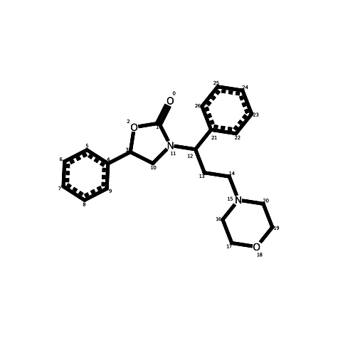 O=C1OC(c2ccccc2)CN1C(CCN1CCOCC1)c1ccccc1